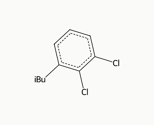 [CH2]C(CC)c1cccc(Cl)c1Cl